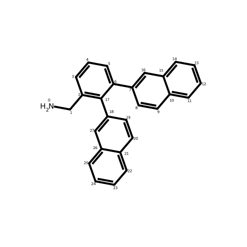 NCc1cccc(-c2ccc3ccccc3c2)c1-c1ccc2ccccc2c1